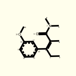 CCC(=C(C)C(=O)N(C)C)c1cccc(OC)c1